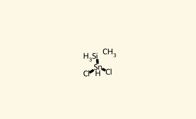 [CH3].[SiH3][SnH]([Cl])[Cl]